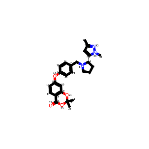 Cc1cc([C@@H]2CCCN2Cc2ccc(Oc3ccc4c(c3)OC(C)(C)OC4=O)cc2)n(C)n1